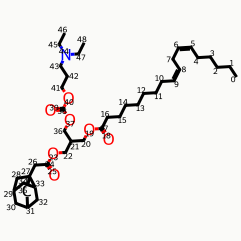 CCCCC/C=C\C/C=C\CCCCCCCC(=O)OCC(COC(=O)CC12CC3CC(CC1C3)C2)COC(=O)OCCCN(CC)CC